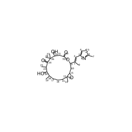 C/C(=C\c1csc(C)n1)C1CC2OC2(C)CCCC(C)C(O)C(C)C(=O)C(C)(C)[C@@H](O)CC(=O)O1